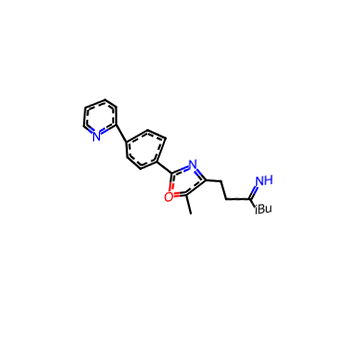 CCC(C)C(=N)CCc1nc(-c2ccc(-c3ccccn3)cc2)oc1C